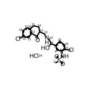 CS(=O)(=O)Nc1cc(C(O)CNCC2CCc3ccc(Cl)cc3C2=O)ccc1Cl.Cl